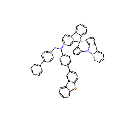 c1ccc(-c2ccc(CN(c3ccc(-c4ccc5sc6ccccc6c5c4)cc3)c3ccc4c(c3)C3(c5ccccc5-4)c4ccccc4-n4c5ccccc5c5cccc3c54)cc2)cc1